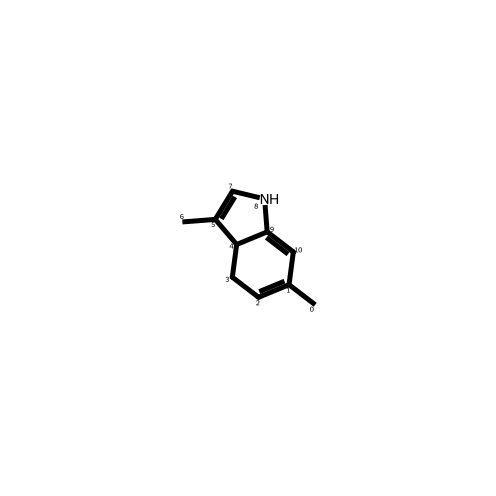 CC1=CCC2C(C)=CNC2=C1